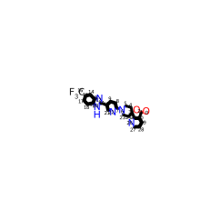 O=C1OC2(CCN(c3ccc(-c4nc5cc(C(F)(F)F)ccc5[nH]4)cn3)CC2)c2ncccc21